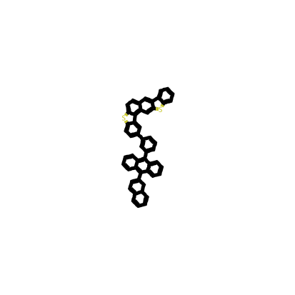 C1=CC2=CC=C(c3c4ccccc4c(-c4cccc(-c5ccc6sc7ccc8cc9c(cc8c7c6c5)sc5ccccc59)c4)c4ccccc34)CC2C=C1